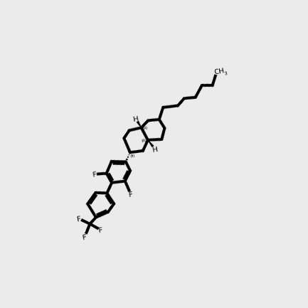 CCCCCCCC1CC[C@@H]2C[C@H](c3cc(F)c(-c4ccc(C(F)(F)F)cc4)c(F)c3)CC[C@@H]2C1